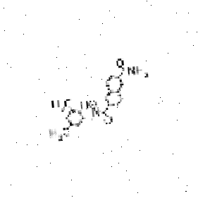 Cc1cc(C)cc(CN(O)C(=O)c2ccc3cc(C(N)=O)ccc3c2)c1